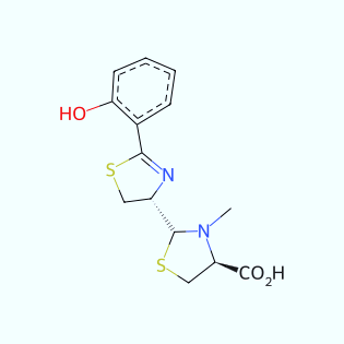 CN1C([C@@H]2CSC(c3ccccc3O)=N2)SC[C@@H]1C(=O)O